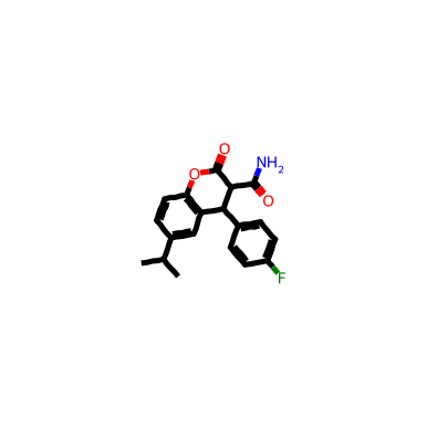 CC(C)c1ccc2c(c1)C(c1ccc(F)cc1)C(C(N)=O)C(=O)O2